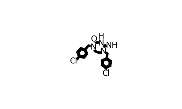 N=C1NC(=O)N(Cc2ccc(Cl)cc2)CCN1Cc1ccc(Cl)cc1